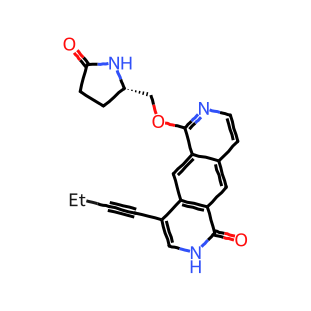 CCC#Cc1c[nH]c(=O)c2cc3ccnc(OC[C@@H]4CCC(=O)N4)c3cc12